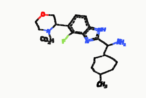 CC1CCC(C(N)c2nc3c(F)c(C4COCCN4C(=O)O)ccc3[nH]2)CC1